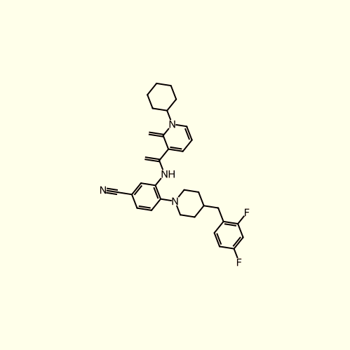 C=C(Nc1cc(C#N)ccc1N1CCC(Cc2ccc(F)cc2F)CC1)C1=CC=CN(C2CCCCC2)C1=C